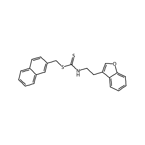 S=C(NCCc1coc2ccccc12)SCc1ccc2ccccc2c1